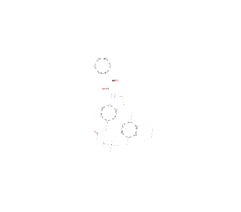 Cc1cc2c(c(-c3cc(F)c4c(c3C)CCCO4)c1[C@H](OC(C)(C)C)C(=O)O)CCN2C(=O)C(=O)c1ccccc1